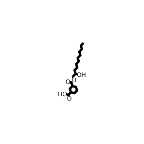 CCCCCCCCCCC(O)COC(=O)C1CCCC(C(=O)O)C1